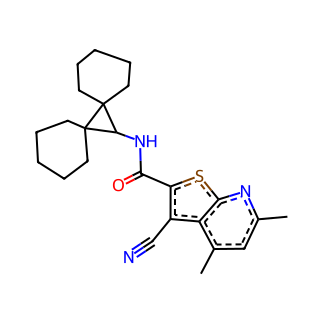 Cc1cc(C)c2c(C#N)c(C(=O)NC3C4(CCCCC4)C34CCCCC4)sc2n1